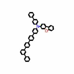 c1ccc(-c2ccc(N(c3ccc(-c4ccc(-c5ccc(-c6cccc(-c7ccccc7)c6)cc5)cc4)cc3)c3ccc4c(c3)oc3ccccc34)cc2)cc1